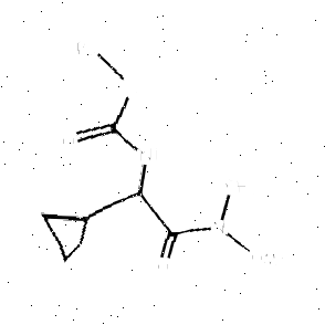 CON(C)C(=O)C(NC(=O)OC(C)(C)C)C1CC1